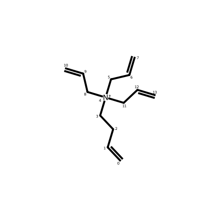 C=CCC[N+](CC=C)(CC=C)CC=C